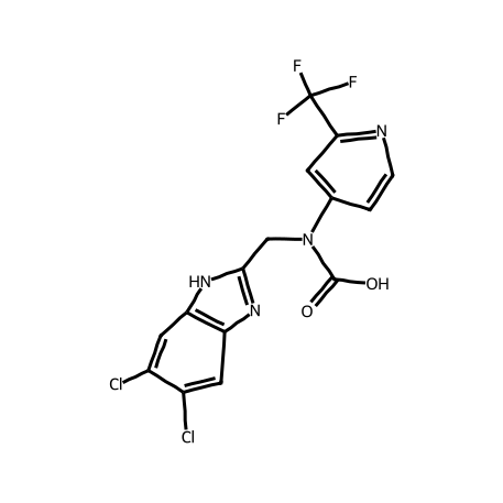 O=C(O)N(Cc1nc2cc(Cl)c(Cl)cc2[nH]1)c1ccnc(C(F)(F)F)c1